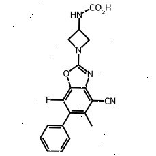 Cc1c(-c2ccccc2)c(F)c2oc(N3CC(NC(=O)O)C3)nc2c1C#N